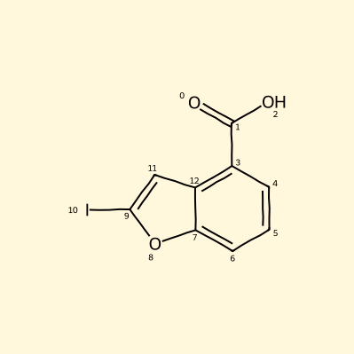 O=C(O)c1cccc2oc(I)cc12